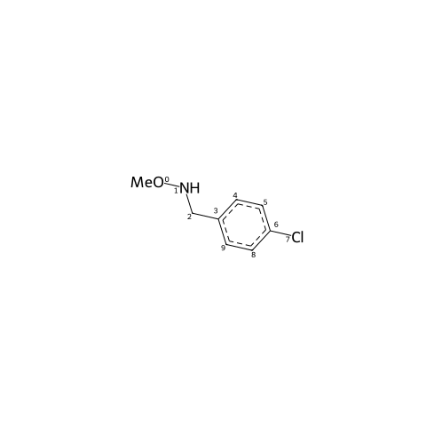 CONCc1ccc(Cl)cc1